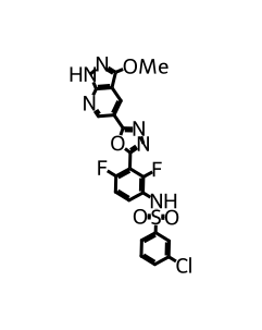 COc1n[nH]c2ncc(-c3nnc(-c4c(F)ccc(NS(=O)(=O)c5cccc(Cl)c5)c4F)o3)cc12